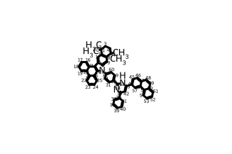 CC1(C)CCC(C)(C)c2cc3c(cc21)c1c2ccccc2c2ccccc2c1n3-c1ccc(C2N=C(c3ccccc3)C=C(c3ccc4ccc5ccccc5c4c3)N2)cc1